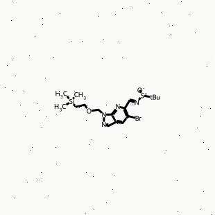 CC(C)(C)[S+]([O-])/N=C/c1nc2c(cnn2COCC[Si](C)(C)C)cc1Br